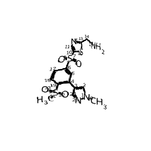 Cn1cc(-c2cc(S(=O)(=O)c3cnc(CN)s3)ccc2S(C)(=O)=O)cn1